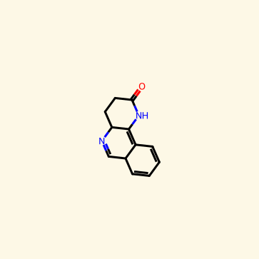 O=C1CCC2N=CC3C=CC=CC3=C2N1